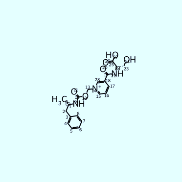 C[C@@H](Cc1ccccc1)NC(=O)OC[n+]1cccc(C(=O)N[C@@H](CO)C(=O)O)c1